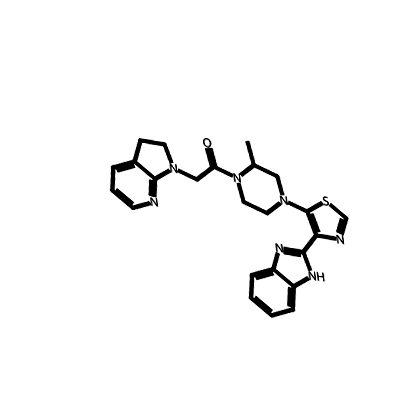 CC1CN(c2scnc2-c2nc3ccccc3[nH]2)CCN1C(=O)CN1CCc2cccnc21